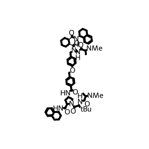 CNC(C)C(=O)NC(C(=O)N1C[C@@H](NC(=O)c2ccc(COc3ccc(CN(NC(=O)C(C)NC)C(=O)[C@H]4CCCC[C@H]4C(=O)N[C@@H]4CCCc5ccccc54)cc3)cc2)CC1C(=O)N[C@@H]1CCCc2ccccc21)C(C)(C)C